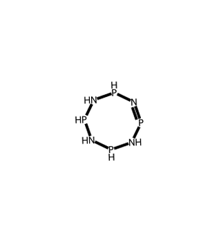 n1p[nH][pH][nH][pH][nH][pH]1